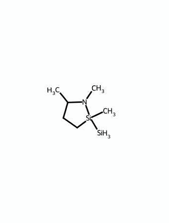 CC1CC[Si](C)([SiH3])N1C